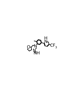 Cc1ccc(C2=CC=C(C(F)(F)F)CN2)cc1N(CN=N)CC1CCCO1